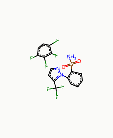 Fc1ccc(F)c(F)c1F.NS(=O)(=O)c1ccccc1-n1nccc1C(F)(F)F